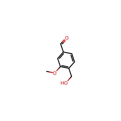 COc1cc(C=O)ccc1CO